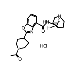 CC(=O)N1CCC(c2nc3c(C(=O)N[C@@H]4CN5CCC4CC5)cccc3o2)CC1.Cl